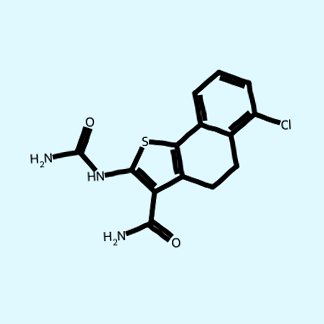 NC(=O)Nc1sc2c(c1C(N)=O)CCc1c(Cl)cccc1-2